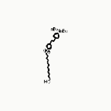 CCCCN(CCCC)c1ccc(C=Cc2ccc(S(=O)(=O)CCCCCCCCCCCCO)cc2)cc1